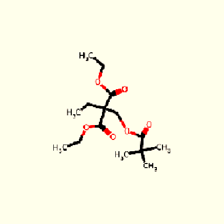 CCOC(=O)C(CC)(COC(=O)C(C)(C)C)C(=O)OCC